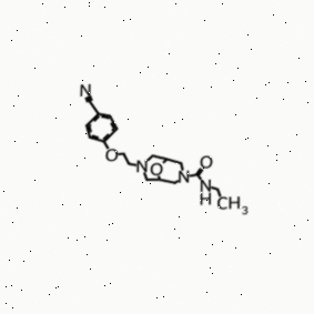 CCNC(=O)N1CC2CN(CCOc3ccc(C#N)cc3)CC(C1)O2